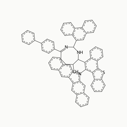 CC1CC/C(c2ccc(-c3ccccc3)cc2)=N\C(c2cc3ccccc3c3ccccc23)NC1c1c(-n2c3cc4ccccc4cc3c3cc4ccccc4cc32)c2c3ccccc3sc2c2ccccc12